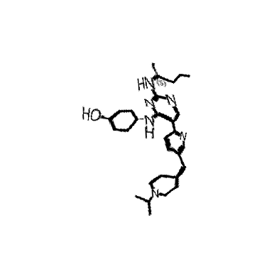 CCC[C@H](C)Nc1ncc(-c2ccc(C=C3CCN(C(C)C)CC3)cn2)c(N[C@H]2CC[C@H](O)CC2)n1